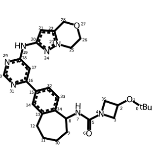 CC(C)(C)OC1CN(C(=O)NC2CCCCc3cc(-c4cc(Nc5cc6n(n5)CCOC6)ncn4)ccc32)C1